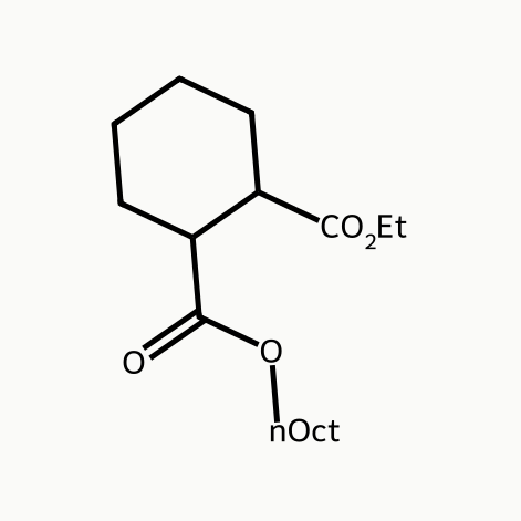 CCCCCCCCOC(=O)C1CCCCC1C(=O)OCC